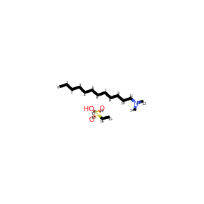 CCCCCCCCCCCCN(C)C.CCS(=O)(=O)O